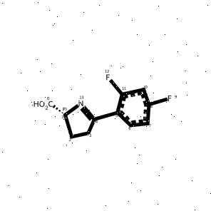 O=C(O)[C@H]1CCC(c2ccc(F)cc2F)=N1